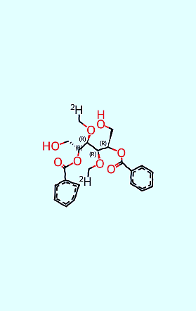 [2H]CO[C@@H]([C@H](OC[2H])[C@@H](CO)OC(=O)c1ccccc1)[C@@H](CO)OC(=O)c1ccccc1